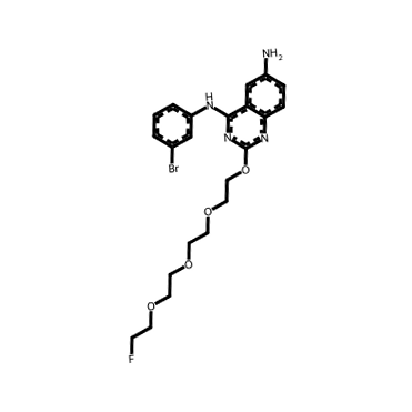 Nc1ccc2nc(OCCOCCOCCOCCF)nc(Nc3cccc(Br)c3)c2c1